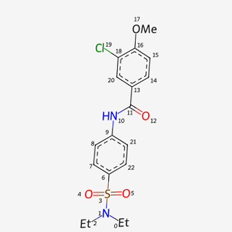 CCN(CC)S(=O)(=O)c1ccc(NC(=O)c2ccc(OC)c(Cl)c2)cc1